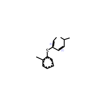 C/C=C(\C=C/C(C)C)Sc1ccccc1C